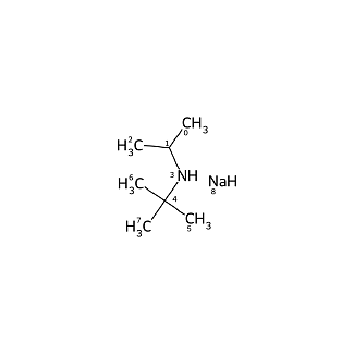 CC(C)NC(C)(C)C.[NaH]